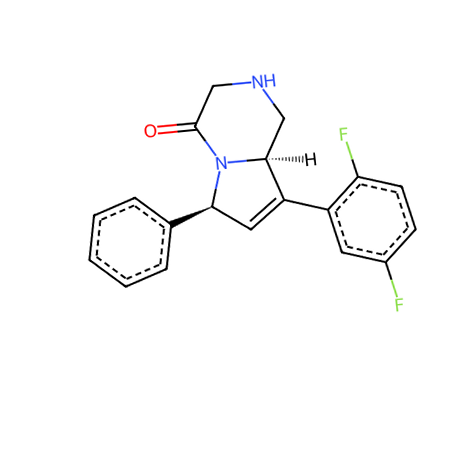 O=C1CNC[C@H]2C(c3cc(F)ccc3F)=C[C@@H](c3ccccc3)N12